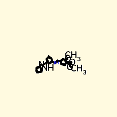 COC(=O)c1ccc(/C=C/c2cccc(-c3nc4ccccc4[nH]3)c2)cc1OC